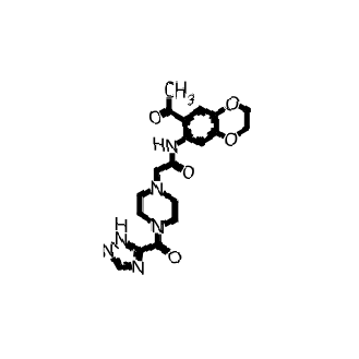 CC(=O)c1cc2c(cc1NC(=O)CN1CCN(C(=O)c3ncn[nH]3)CC1)OCCO2